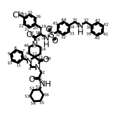 O=C(CN1CN(c2ccccc2)C2(CCN(C(=O)[C@@H](Cc3ccc(Cl)cc3)NS(=O)(=O)c3ccc(CNCc4ccccc4)cc3)CC2)C1=O)NC1CCCCC1